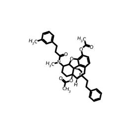 CC(=O)Oc1ccc2c3c1OC1C(N(C)C(=O)CCc4cccc(C)c4)CC[C@@]4(OC(C)=O)[C@@H](C2)N(CCc2ccccc2)CC[C@]314